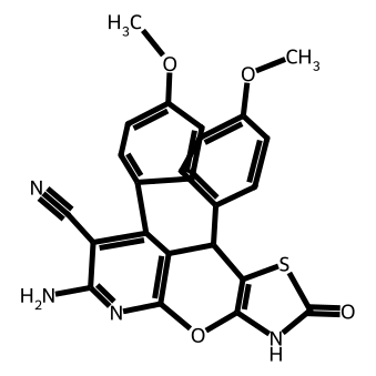 COc1ccc(-c2c(C#N)c(N)nc3c2C(c2ccc(OC)cc2)c2sc(=O)[nH]c2O3)cc1